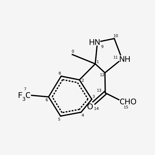 CC1(c2cccc(C(F)(F)F)c2)NCNC1C(=O)C=O